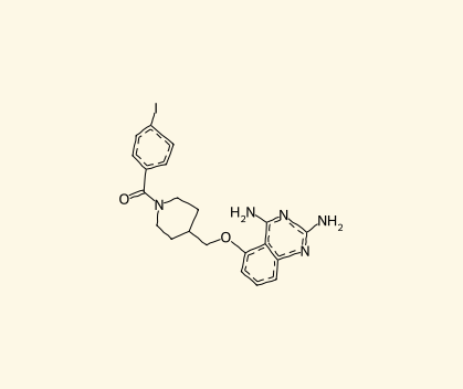 Nc1nc(N)c2c(OCC3CCN(C(=O)c4ccc(I)cc4)CC3)cccc2n1